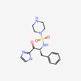 O=C(C1=NC=C[N]1)[C@H](Cc1ccccc1)NS(=O)(=O)N1CCNCC1